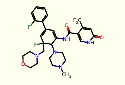 CN1CCN(C2C(NC(=O)c3c[nH]c(=O)cc3C(F)(F)F)=CC(c3ccccc3F)=CC2(F)CN2CCOCC2)CC1